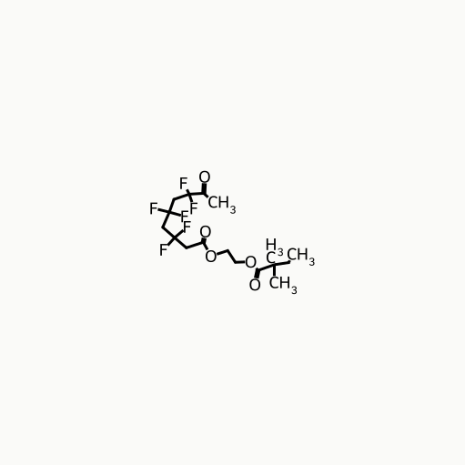 CCC(C)(C)C(=O)OCCOC(=O)CC(F)(F)CC(F)(F)CC(F)(F)C(C)=O